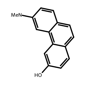 CNc1ccc2ccc3ccc(O)cc3c2c1